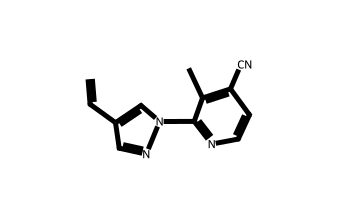 C=Cc1cnn(-c2nccc(C#N)c2C)c1